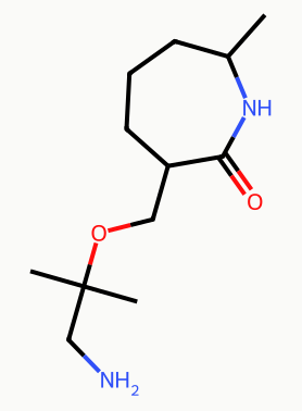 CC1CCCC(COC(C)(C)CN)C(=O)N1